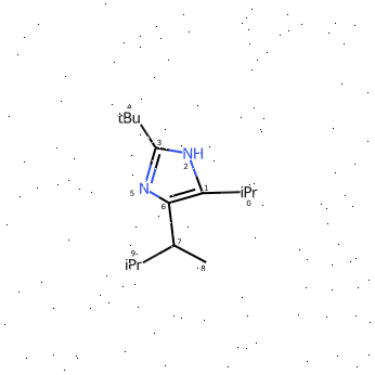 CC(C)c1[nH]c(C(C)(C)C)nc1C(C)C(C)C